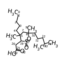 CCCCCC1(C)CC(C)(CCCC(C)C)OS(=O)C1CC(=O)O